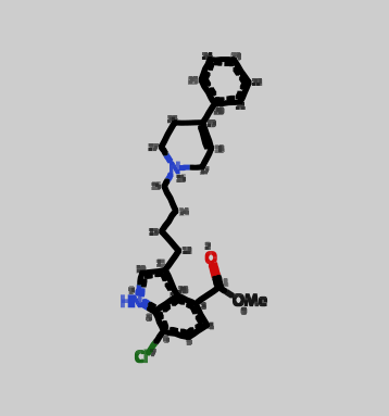 COC(=O)c1ccc(Cl)c2[nH]cc(CCCCN3CC=C(c4ccccc4)CC3)c12